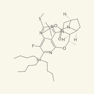 CCC[CH2][Sn]([CH2]CCC)([CH2]CCC)[c]1nc2c3c(nc(SC)nc3c1F)N1C[C@H]3CC[C@@H]([C@H]1[C@H](C)O2)N3C(=O)OC(C)(C)C